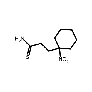 NC(=S)CCC1([N+](=O)[O-])CCCCC1